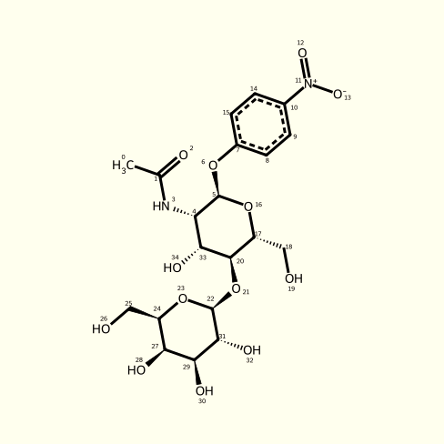 CC(=O)N[C@@H]1[C@@H](Oc2ccc([N+](=O)[O-])cc2)O[C@H](CO)[C@@H](O[C@@H]2O[C@H](CO)[C@H](O)[C@H](O)[C@H]2O)[C@@H]1O